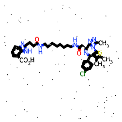 Cc1sc2c(c1C)C(c1ccc(Cl)cc1)=N[C@@H](CC(=O)NCCCCCCCCNC(=O)CCc1nc3cccc(C(=O)O)c3[nH]1)c1nnc(C)n1-2